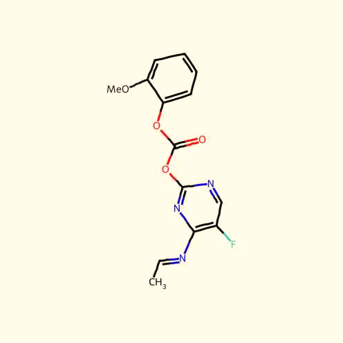 C/C=N/c1nc(OC(=O)Oc2ccccc2OC)ncc1F